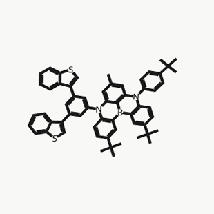 Cc1cc2c3c(c1)N(c1cc(-c4csc5ccccc45)cc(-c4csc5ccccc45)c1)c1ccc(C(C)(C)C)cc1B3c1cc(C(C)(C)C)ccc1N2c1ccc(C(C)(C)C)cc1